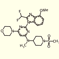 COc1cccc2c1nc(C(F)F)n2-c1nc(N2CCOCC2)cc(N(C)C2CCN(S(C)(=O)=O)CC2)n1